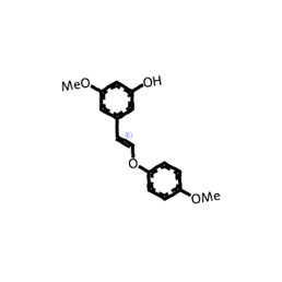 COc1ccc(O/C=C/c2cc(O)cc(OC)c2)cc1